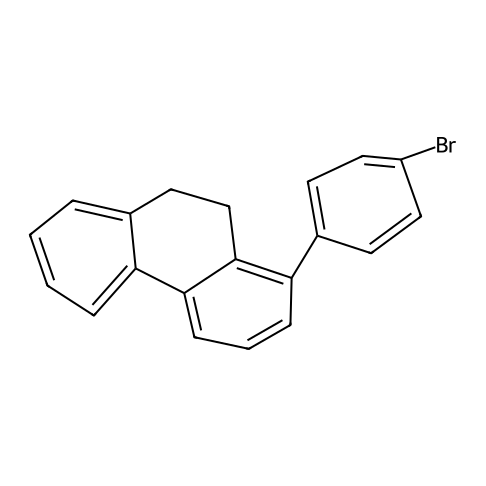 Brc1ccc(-c2cccc3c2CCc2ccccc2-3)cc1